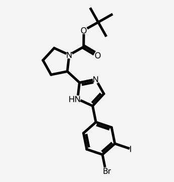 CC(C)(C)OC(=O)N1CCCC1c1ncc(-c2ccc(Br)c(I)c2)[nH]1